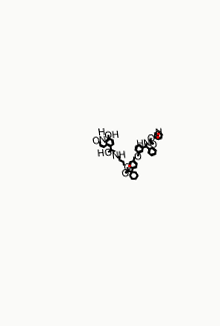 O=C(NC(c1ccccc1)c1cccc(OCc2ccc(C3(C(=O)OCCCCNCC(O)c4ccc(O)c5[nH]c(=O)ccc45)CCCCC3)cc2)c1)OC1CN2CCC1CC2